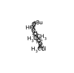 CCCCOC[C@H](O)COc1ccc(C(C)(C)c2ccc(OC[C@H](C)CCl)cc2)cc1